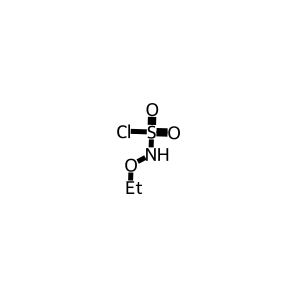 CCONS(=O)(=O)Cl